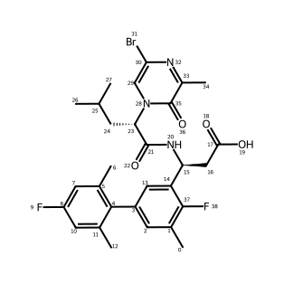 Cc1cc(-c2c(C)cc(F)cc2C)cc([C@H](CC(=O)O)NC(=O)[C@H](CC(C)C)n2cc(Br)nc(C)c2=O)c1F